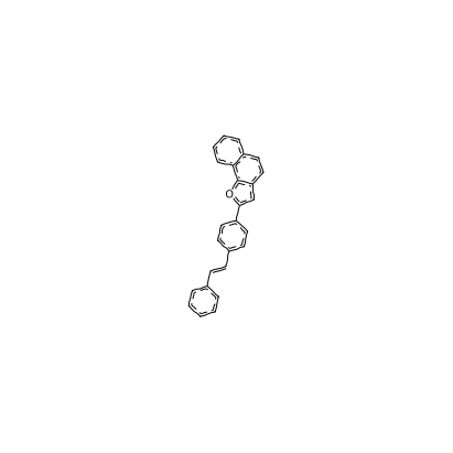 C(=Cc1ccc(-c2cc3ccc4ccccc4c3o2)cc1)c1ccccc1